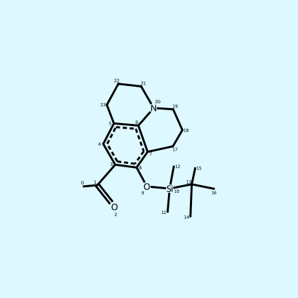 CC(=O)c1cc2c3c(c1O[Si](C)(C)C(C)(C)C)CCCN3CCC2